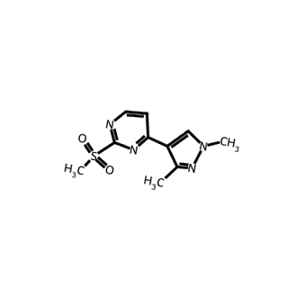 Cc1nn(C)cc1-c1ccnc(S(C)(=O)=O)n1